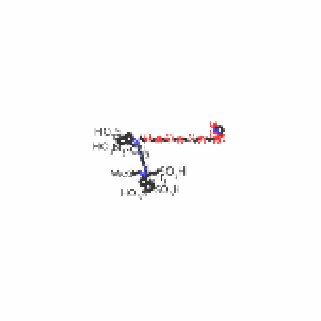 COCC[N+]1=C(/C=C/C=C/C=C/C=C2/N(CCOCCOCCOCCOCCOCCOCCC(=O)ON3C(=O)CCC3=O)c3ccc4c(S(=O)(=O)O)cc(S(=O)(=O)O)cc4c3C2(C)C)C(C)(CCCS(=O)(=O)O)c2c1ccc1c(S(=O)(=O)O)cc(S(=O)(=O)O)cc21